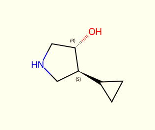 O[C@H]1CNC[C@@H]1C1CC1